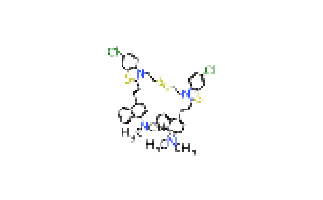 CN(C)c1ccc(/C=C/c2sc3cc(Cl)ccc3[n+]2CCSSCCN2c3ccc(Cl)cc3SC2/C=C/c2ccc(N(C)C)c3ccccc23)c2ccccc12